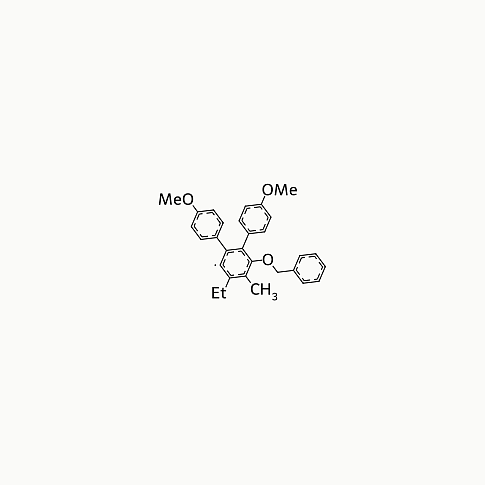 CCc1[c]c(-c2ccc(OC)cc2)c(-c2ccc(OC)cc2)c(OCc2ccccc2)c1C